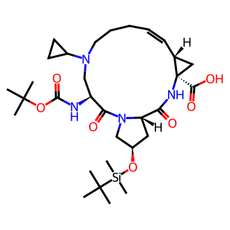 CC(C)(C)OC(=O)N[C@H]1CN(C2CC2)CCC/C=C\[C@@H]2C[C@@]2(C(=O)O)NC(=O)[C@@H]2C[C@@H](O[Si](C)(C)C(C)(C)C)CN2C1=O